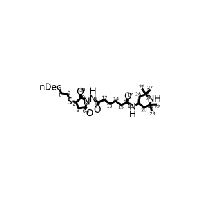 CCCCCCCCCCCCSC1CC(=O)N(NC(=O)CCCCC(=O)NC2CC(C)(C)NC(C)(C)C2)C1=O